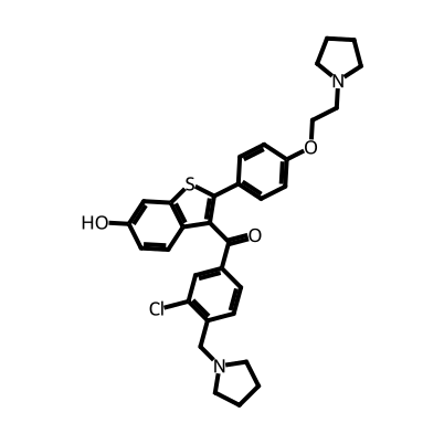 O=C(c1ccc(CN2CCCC2)c(Cl)c1)c1c(-c2ccc(OCCN3CCCC3)cc2)sc2cc(O)ccc12